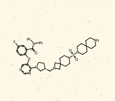 CC(C)N(C(=O)c1cc(F)ccc1Oc1cncnc1N1CC[C@@H](CN2CC3(CCN(S(=O)(=O)N4CCC5(CCNCC5)CC4)CC3)C2)C1)C(C)C